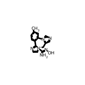 Cc1ccc2c(c1)-n1cncc1C[N+]1(C(N)=NO)C=CN=C21